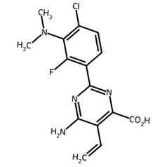 C=Cc1c(N)nc(-c2ccc(Cl)c(N(C)C)c2F)nc1C(=O)O